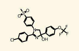 CS(=O)(=O)c1ccc(N2CC(O)(c3ccc(OC(F)(F)F)cc3)N=C2c2ccc(Cl)cc2)cc1